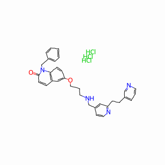 Cl.Cl.Cl.O=c1ccc2cc(OCCCNCc3ccnc(CCc4cccnc4)c3)ccc2n1Cc1ccccc1